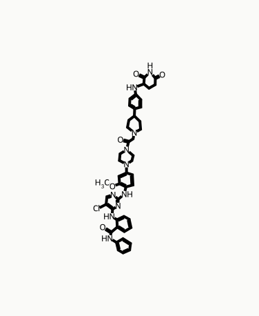 COc1cc(N2CCN(C(=O)CN3CCC(c4ccc(NC5CCC(=O)NC5=O)cc4)CC3)CC2)ccc1Nc1ncc(Cl)c(Nc2ccccc2C(=O)Nc2ccccc2)n1